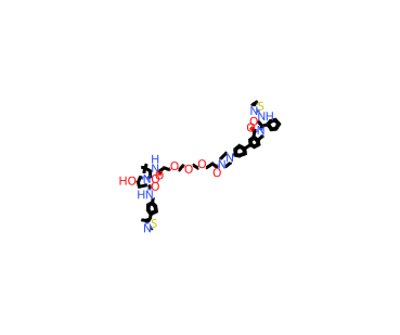 Cc1ncsc1-c1ccc(CNC(=O)[C@@H]2C[C@@H](O)CN2C(=O)[C@@H](NC(=O)CCOCCOCCOCCC(=O)N2CCN(c3ccc(-c4ccc5c(c4)C(=O)N(C(C(=O)Nc4nccs4)c4ccccc4)C5)cc3)CC2)C(C)(C)C)cc1